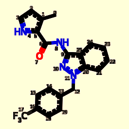 Cc1cc[nH]c1C(=O)Nc1nn(Cc2ccc(C(F)(F)F)cc2)c2ccccc12